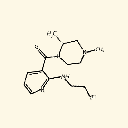 CC(C)CCNc1ncccc1C(=O)N1CCN(C)C[C@H]1C